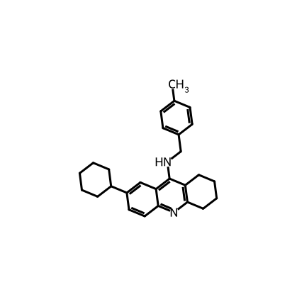 Cc1ccc(CNc2c3c(nc4ccc(C5CCCCC5)cc24)CCCC3)cc1